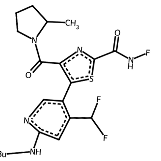 CC1CCCN1C(=O)c1nc(C(=O)NF)sc1-c1cnc(NC(C)(C)C)cc1C(F)F